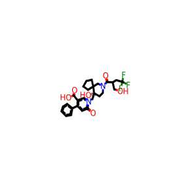 O=C(O)c1cn(C[C@]2(O)CCN(C(=O)C(CO)CC(F)(F)F)CC23CCCC3)c(=O)cc1-c1ccccc1